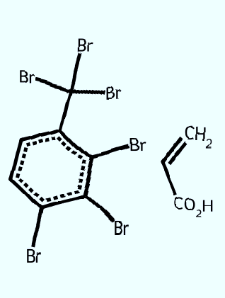 Brc1ccc(C(Br)(Br)Br)c(Br)c1Br.C=CC(=O)O